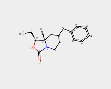 CC[C@@H]1OC(=O)N2CCC(Cc3ccccc3)C[C@@H]12